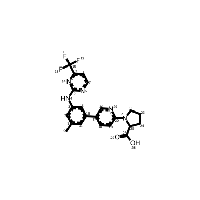 Cc1cc(Nc2nccc(C(F)(F)F)n2)cc(-c2ccc(N3CCCC3C(=O)O)nc2)c1